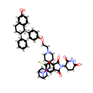 O=C1CCC(N2C(=O)c3cc(F)c(N4C5CC4CN(CC4CCN(CCOc6ccc([C@@H]7c8ccc(O)cc8CC[C@@H]7c7ccccc7)cc6)CC4)C5)cc3C2=O)C(=O)N1